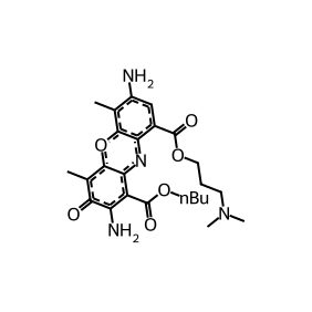 CCCCOC(=O)c1c2nc3c(C(=O)OCCCN(C)C)cc(N)c(C)c3oc-2c(C)c(=O)c1N